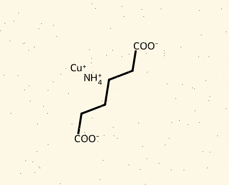 O=C([O-])CCCCC(=O)[O-].[Cu+].[NH4+]